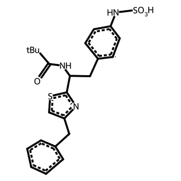 CC(C)(C)C(=O)NC(Cc1[c]cc(NS(=O)(=O)O)cc1)c1nc(Cc2ccccc2)cs1